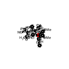 COc1ccc(C(OC[C@@H]2O[C@@H](n3ccc(NC(=O)c4ccccc4)nc3=O)C[C@H]2C(c2cc[c]c(Cl)c2)[C@H]2O[C@@H](n3cc(C)c(=O)[nH]c3=O)C[C@@H]2OP(=O)(OC[C@H]2O[C@@H](n3cc(C)c(=O)[nH]c3=O)C[C@@H]2OP(OCCC#N)N(C(C)C)C(C)C)Oc2ccccc2Cl)(c2ccccc2)c2ccc(OC)cc2)cc1